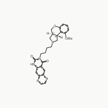 COc1cccc2c1[C@@H]1CN(CCCCn3c(=O)[nH]c4cc5nccnc5cc4c3=O)C[C@H]1CO2